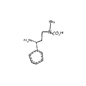 CC(C)(C)N(CCC(N)c1ccccc1)C(=O)O